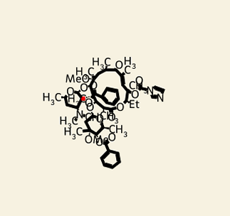 CC[C@H]1OC(=O)[C@H](C)[C@@H](O[C@H]2C[C@@](C)(OC)[C@@H](OC(=O)c3ccccc3)[C@H](C)O2)[C@H](C)[C@@H](O[C@@H]2O[C@H](C)C[C@H](N(C)C)C2OC(=O)c2ccccc2)[C@](C)(OC)C[C@@H](C)C(=O)/C(C)=C/[C@]1(C)OC(=O)n1ccnc1